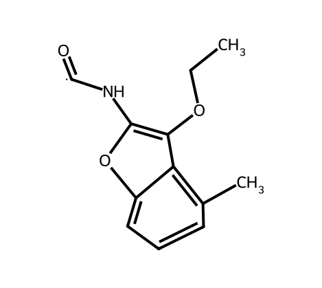 CCOc1c(N[C]=O)oc2cccc(C)c12